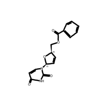 O=C(OC[C@H]1C=C[C@@H](n2ccc(=O)[nH]c2=O)O1)c1ccccc1